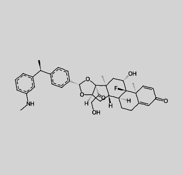 CNc1cccc([C@@H](C)c2ccc([C@H]3O[C@@H]4C[C@H]5[C@@H]6CCC7=CC(=O)C=C[C@]7(C)[C@@]6(F)[C@@H](O)C[C@]5(C)[C@]4(C(=O)CO)O3)cc2)c1